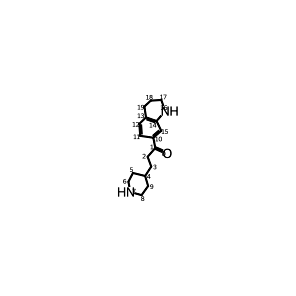 O=C(CCC1CCNCC1)c1ccc2c(c1)NCCC2